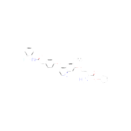 COc1cc2c(Oc3ccc(CC(=O)Nc4ccccc4F)cc3)ccnc2cc1OCC[C@H](N)C(=O)OC1CCCC1